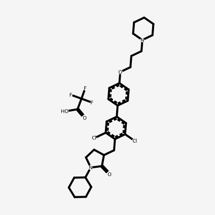 O=C(O)C(F)(F)F.O=C1C(Cc2c(Cl)cc(-c3ccc(OCCCN4CCCCC4)cc3)cc2Cl)CCN1C1CCCCC1